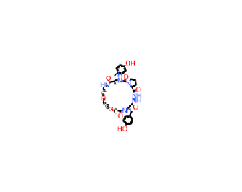 O=C1COCCOCCNC(=O)[C@H](Cc2ccc(O)cc2)NC(=O)N2CCCC2C(=O)NNC(=O)[C@H](Cc2ccc(O)cc2)N1